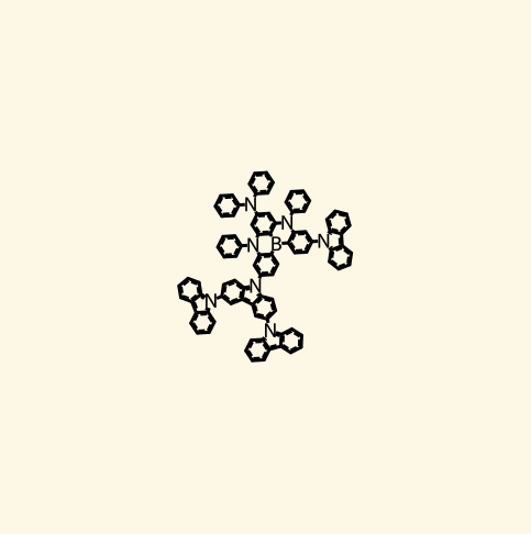 c1ccc(N(c2ccccc2)c2cc3c4c(c2)N(c2ccccc2)c2cc(-n5c6ccc(-n7c8ccccc8c8ccccc87)cc6c6cc(-n7c8ccccc8c8ccccc87)ccc65)ccc2B4c2ccc(-n4c5ccccc5c5ccccc54)cc2N3c2ccccc2)cc1